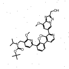 COc1nc(-c2cccc(-c3ccnc(-c4cc(OC)c5nc(CO)nn5c4)c3Cl)c2Cl)ccc1CN(C(=O)OC(C)(C)C)C(C)C